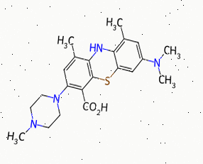 Cc1cc(N(C)C)cc2c1Nc1c(C)cc(N3CCN(C)CC3)c(C(=O)O)c1S2